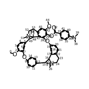 COc1ccc2cc1Oc1ccc(cc1)C[C@H]1c3cc(ccc3CCN1C)Oc1c(OC(=O)c3ccc(N(C)C)cc3)c(OC)cc3c1[C@H](C2)N(C)CC3